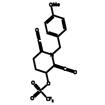 COc1ccc(CN2C(=C=O)CCC(OS(=O)(=O)C(F)(F)F)C2=C=O)cc1